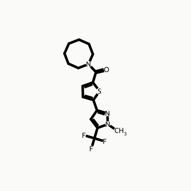 Cn1nc(-c2ccc(C(=O)N3CCCCCCC3)s2)cc1C(F)(F)F